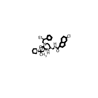 CC[C@H](CN1CC[C@@H](CNC(=O)c2ccc3cc(Cl)ccc3c2)N[C@@H](CC(C)(C)N2CCCCC2)C1=O)c1ccccc1